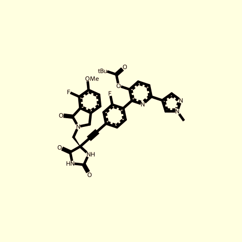 COc1ccc2c(c1F)C(=O)N(C[C@@]1(C#Cc3ccc(-c4nc(-c5cnn(C)c5)ccc4OC(=O)C(C)(C)C)c(F)c3)NC(=O)NC1=O)C2